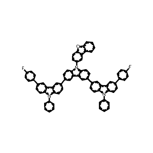 Fc1ccc(-c2ccc3c(c2)c2cc(-c4ccc5c(c4)c4cc(-c6ccc7c(c6)c6cc(-c8ccc(F)cc8)ccc6n7-c6ccccc6)ccc4n5-c4ccc5oc6ccccc6c5c4)ccc2n3-c2ccccc2)cc1